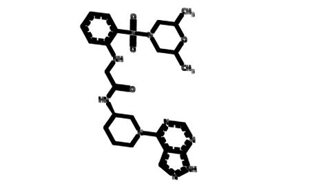 CC1CN(S(=O)(=O)c2ccccc2NCC(=O)N[C@@H]2CCCN(c3ncnc4[nH]ncc34)C2)CC(C)O1